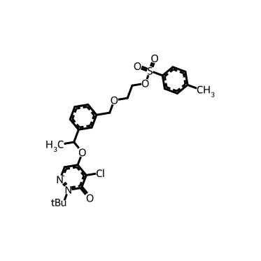 Cc1ccc(S(=O)(=O)OCCOCc2cccc(C(C)Oc3cnn(C(C)(C)C)c(=O)c3Cl)c2)cc1